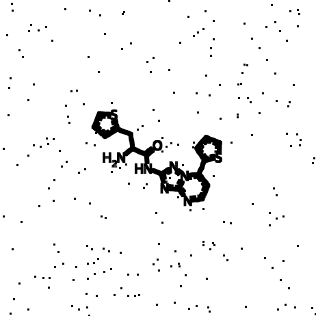 NC(Cc1cccs1)C(=O)Nc1nc2nccc(-c3cccs3)n2n1